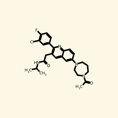 CC(=O)N1CCCN(c2ccc3nc(-c4ccc(F)c(Cl)c4)c(CC(=O)NC(C)C)cc3c2)CC1